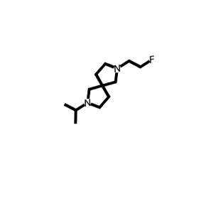 CC(C)N1CCC2(CCN(CCF)C2)C1